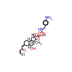 CC/C=C\C(=O)/C=C1/CC[C@@H]2[C@@H](C1)[C@@H](O)C[C@@]1(C)[C@H]2C[C@H]2OC(CCC)O[C@]21C(=O)COC(=O)NCc1ccc(N)cc1